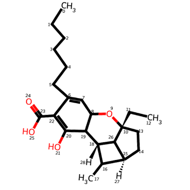 CCCCCCC1=CC2O[C@]3(CC)CC[C@H]4C(C)[C@H](C2C(O)=C1C(=O)O)C43